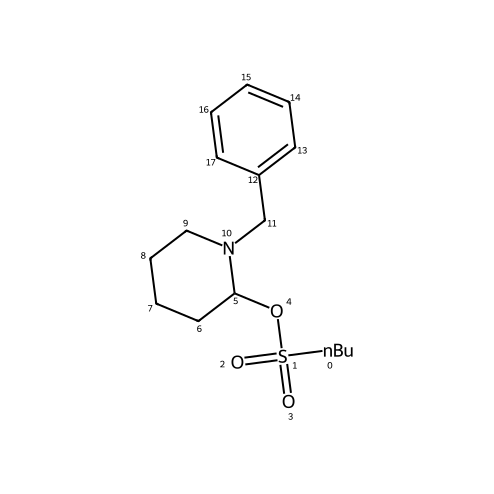 CCCCS(=O)(=O)OC1CCCCN1Cc1ccccc1